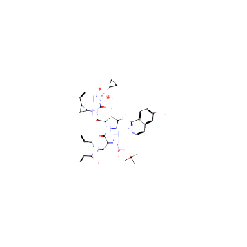 C=CCN(CC(NC(=O)OC(C)(C)C)C(=O)N1CC(Oc2nccc3cc(OC)ccc23)CC1C(=O)N(C(=O)NS(=O)(=O)C1CC1)C1CC1C=C)C(=O)C=C